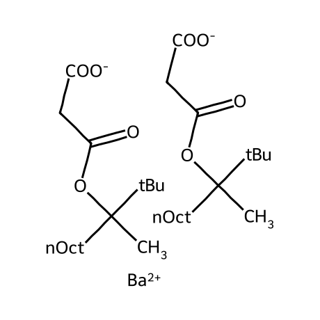 CCCCCCCCC(C)(OC(=O)CC(=O)[O-])C(C)(C)C.CCCCCCCCC(C)(OC(=O)CC(=O)[O-])C(C)(C)C.[Ba+2]